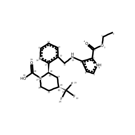 CCOC(=O)c1[nH]ccc1NCc1cccnc1[C@H]1C[C@H](C(F)(F)F)CCN1C(=O)O